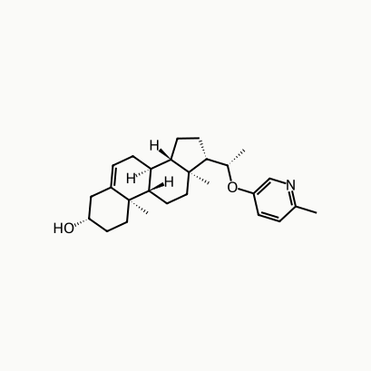 Cc1ccc(O[C@@H](C)[C@H]2CC[C@H]3[C@@H]4CC=C5C[C@@H](O)CC[C@]5(C)[C@H]4CC[C@]23C)cn1